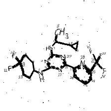 CC(Nc1nc(NC2CCC(F)(F)CC2)nc(-c2cccc(C(F)(F)F)n2)n1)C1CC1